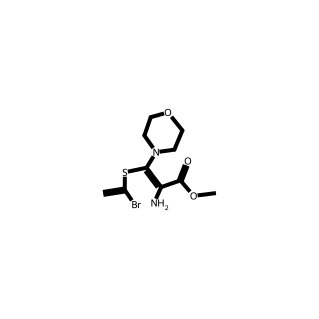 C=C(Br)S/C(=C(\N)C(=O)OC)N1CCOCC1